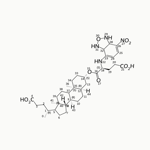 C[C@H](CCC(=O)O)C1CC[C@H]2[C@@H]3CC[C@@H]4C[C@@H](OC(=O)[C@H](CCC(=O)O)NC5=CC=C([N+](=O)[O-])C6NONC56)CC[C@]4(C)C3CC[C@]12C